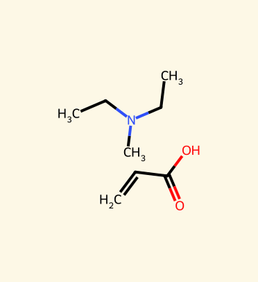 C=CC(=O)O.CCN(C)CC